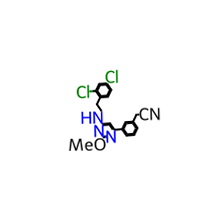 COc1nc(NCCc2ccc(Cl)cc2Cl)cc(-c2cccc(CC#N)c2)n1